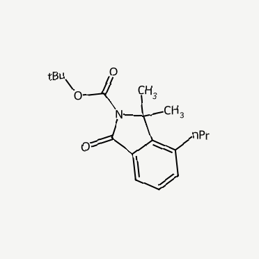 CCCc1cccc2c1C(C)(C)N(C(=O)OC(C)(C)C)C2=O